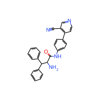 N#Cc1cnccc1-c1ccc(NC(=O)[C@@H](N)C(c2ccccc2)c2ccccc2)cc1